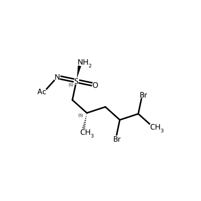 CC(=O)N=[S@](N)(=O)C[C@@H](C)CC(Br)C(C)Br